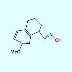 COc1ccc2c(c1)C(C=NO)CCC2